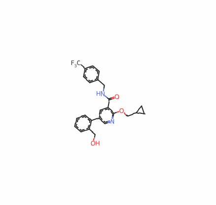 O=C(NCc1ccc(C(F)(F)F)cc1)c1cc(-c2ccccc2CO)cnc1OCC1CC1